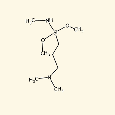 CN[Si](CCCN(C)C)(OC)OC